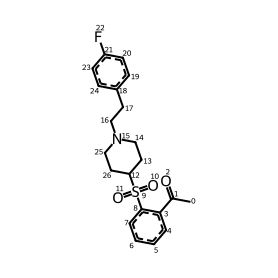 CC(=O)c1ccccc1S(=O)(=O)C1CCN(CCc2ccc(F)cc2)CC1